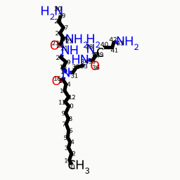 CCCCCCCCCCCCCCCC(=O)N(CCCNC(=O)[C@H](N)CCCCN)CCCNC(=O)[C@H](N)CCCCN